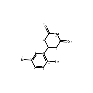 O=C1CC(c2cc(Br)ccc2I)CC(=O)N1